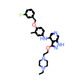 CCN1CCN(CCOc2n[nH]c3cncc(Nc4ccc(OCc5cccc(F)c5)c(C)c4)c23)CC1